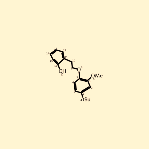 COc1cc(C(C)(C)C)ccc1OCCc1ccccc1O